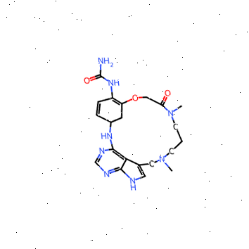 CN1CCCN(C)C(=O)COC2=C(NC(N)=O)C=CC(C2)Nc2ncnc3[nH]cc(c23)C1